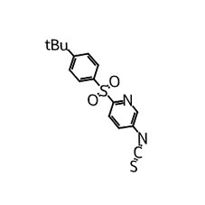 CC(C)(C)c1ccc(S(=O)(=O)c2ccc(N=C=S)cn2)cc1